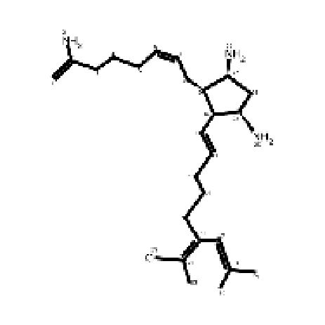 C=C(N)CCC/C=C\C[C@@H]1C(/C=C/CCC/C(C=C(C)C)=C(/C)Cl)[C@H](N)C[C@@H]1N